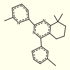 Cc1cccc(-c2nc(-c3cccc(C)n3)nc3c2CCCC3(C)C)c1